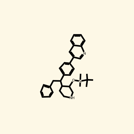 CC(C)(C)[Si](C)(C)OC1CNCCC1C(Cc1ccccc1)c1ccc(-c2cnc3ccccc3c2)cc1